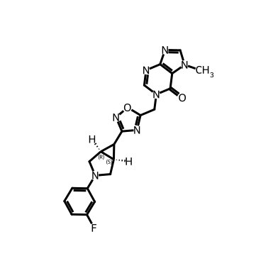 Cn1cnc2ncn(Cc3nc(C4[C@H]5CN(c6cccc(F)c6)C[C@@H]45)no3)c(=O)c21